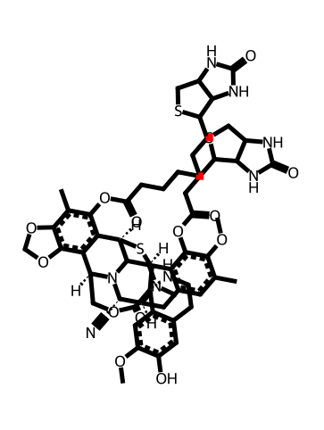 COc1cc2c(cc1O)CCN[C@]21CS[C@@H]2c3c(OC(=O)CCCCC4SCC5NC(=O)NC54)c(C)c4c(c3[C@H](COC1=O)N1C2[C@H]2c3c(cc(C)c(OC)c3OC(=O)CCCCC3SCC5NC(=O)NC53)C[C@@H]([C@@H]1C#N)N2C)OCO4